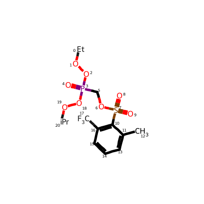 CCOOP(=O)(COS(=O)(=O)c1c(C)cccc1C(F)(F)F)OOC(C)C